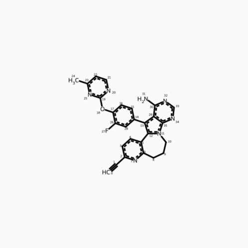 C#Cc1ccc2c(n1)CCCn1c-2c(-c2ccc(Oc3nccc(C)n3)c(F)c2)c2c(N)ncnc21